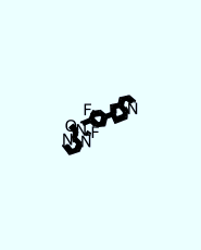 O=c1c2ncccc2ncn1Cc1c(F)cc(-c2ccc3ncccc3c2)cc1F